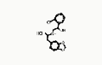 CC(Cc1ccc2c(c1)OCO2)NCC(O)c1ccccc1Cl.Cl